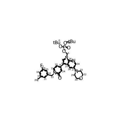 CC(C)(C)OP(=O)(OCn1cc(-c2ccn(Cc3cc(F)cc(I)c3)c(=O)c2)c2cc(N3CCOCC3)cnc21)OC(C)(C)C